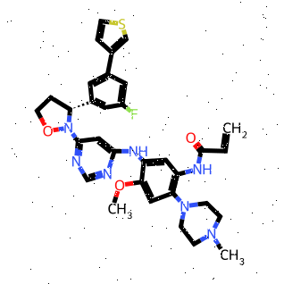 C=CC(=O)Nc1cc(Nc2cc(N3OCC[C@@H]3c3cc(F)cc(-c4ccsc4)c3)ncn2)c(OC)cc1N1CCN(C)CC1